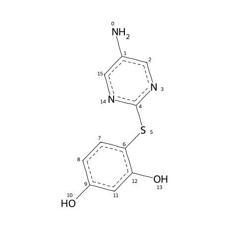 Nc1cnc(Sc2ccc(O)cc2O)nc1